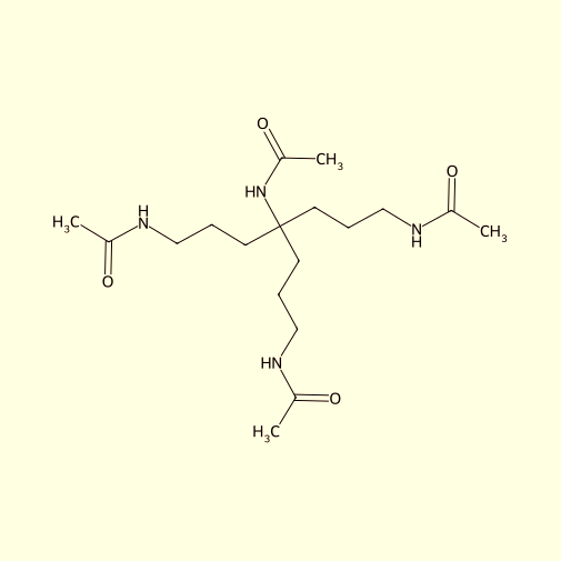 CC(=O)NCCCC(CCCNC(C)=O)(CCCNC(C)=O)NC(C)=O